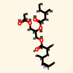 C/C=C\C(C)CC(C)C(=O)OCC(COC(C)=O)OC(=O)CC(C)CC